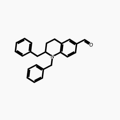 O=Cc1ccc2c(c1)CCC(Cc1ccccc1)N2Cc1ccccc1